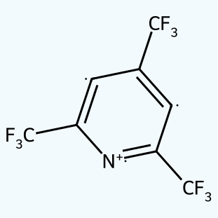 FC(F)(F)C1=[C]C(C(F)(F)F)=[N+]C(C(F)(F)F)=[C]1